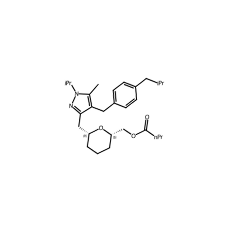 CCCC(=O)OC[C@@H]1CCC[C@H](Cc2nn(C(C)C)c(C)c2Cc2ccc(CC(C)C)cc2)O1